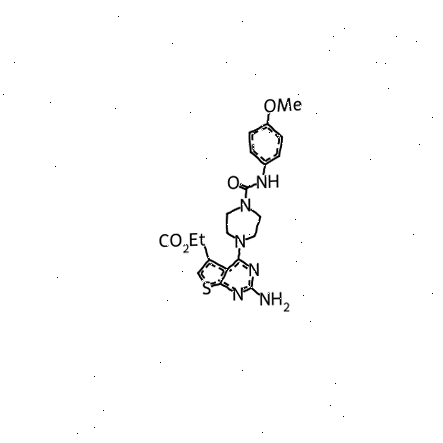 CCOC(=O)c1csc2nc(N)nc(N3CCN(C(=O)Nc4ccc(OC)cc4)CC3)c12